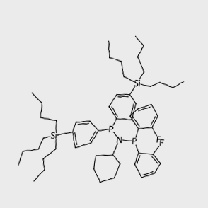 CCCC[Si](CCCC)(CCCC)c1ccc(P(c2ccc([Si](CCCC)(CCCC)CCCC)cc2)N(C2CCCCC2)P(c2ccccc2F)c2ccccc2F)cc1